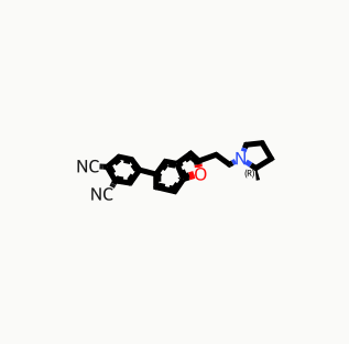 C[C@@H]1CCCN1CCc1cc2cc(-c3ccc(C#N)c(C#N)c3)ccc2o1